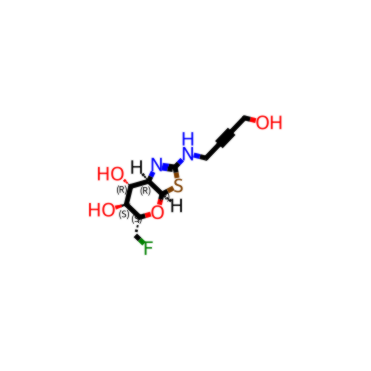 OCC#CCNC1=N[C@@H]2[C@@H](O)[C@H](O)[C@@H](CF)O[C@@H]2S1